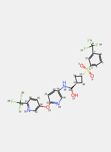 O=S(=O)(c1cccc(C(F)(F)F)c1)[C@H]1C[C@H](C(O)Nc2ccc(Oc3ccc(C(F)(F)F)nc3)nc2)C1